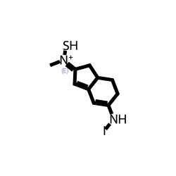 C/[N+](S)=C1\C=C2C=C(NI)CCC2C1